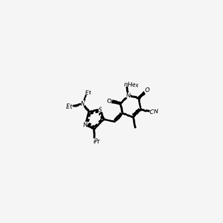 CCCCCCN1C(=O)C(C#N)=C(C)/C(=C/c2sc(N(CC)CC)nc2C(C)C)C1=O